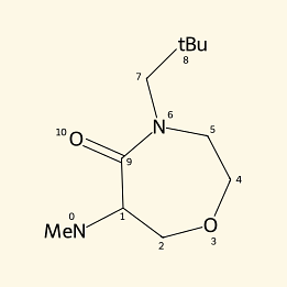 CNC1COCCN(CC(C)(C)C)C1=O